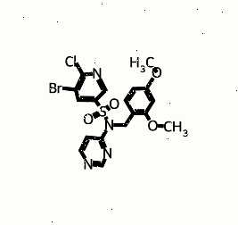 COc1ccc(CN(c2ccncn2)S(=O)(=O)c2cnc(Cl)c(Br)c2)c(OC)c1